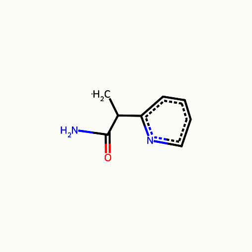 [CH2]C(C(N)=O)c1ccccn1